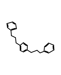 c1ccc(CCCc2ccc(CCCc3ccccc3)cc2)cc1